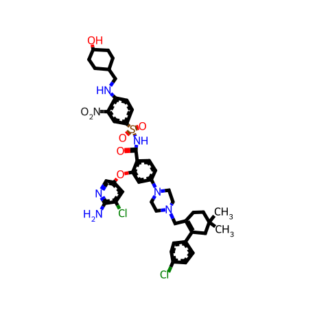 CC1(C)CCC(CN2CCN(c3ccc(C(=O)NS(=O)(=O)c4ccc(NCC5CCC(O)CC5)c([N+](=O)[O-])c4)c(Oc4cnc(N)c(Cl)c4)c3)CC2)=C(c2ccc(Cl)cc2)C1